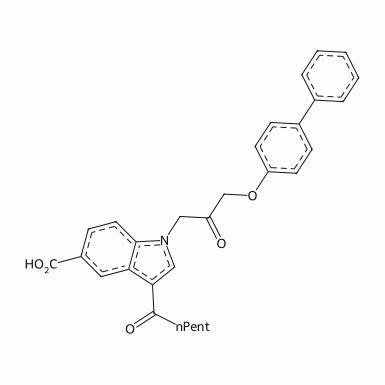 CCCCCC(=O)c1cn(CC(=O)COc2ccc(-c3ccccc3)cc2)c2ccc(C(=O)O)cc12